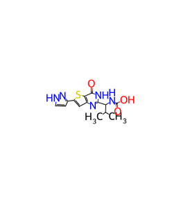 CC(C)C(NC(=O)O)c1nc2cc(-c3cc[nH]n3)sc2c(=O)[nH]1